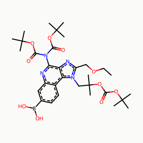 CCOCc1nc2c(N(C(=O)OC(C)(C)C)C(=O)OC(C)(C)C)nc3cc(B(O)O)ccc3c2n1CC(C)(C)OC(=O)OC(C)(C)C